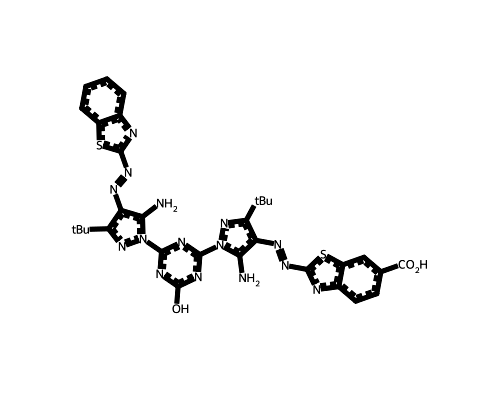 CC(C)(C)c1nn(-c2nc(O)nc(-n3nc(C(C)(C)C)c(N=Nc4nc5ccc(C(=O)O)cc5s4)c3N)n2)c(N)c1N=Nc1nc2ccccc2s1